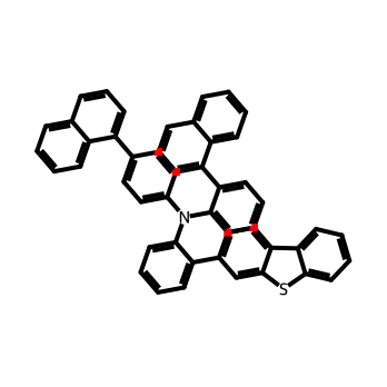 c1ccc(N(c2ccc(-c3cccc4ccccc34)cc2)c2ccccc2-c2cccc3ccccc23)c(-c2ccc3c(c2)sc2ccccc23)c1